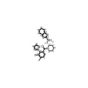 Cc1ccc(C(=O)N2CCC[C@@H](C)[C@H]2CNc2nc3ccccc3s2)c(-n2nccn2)c1F